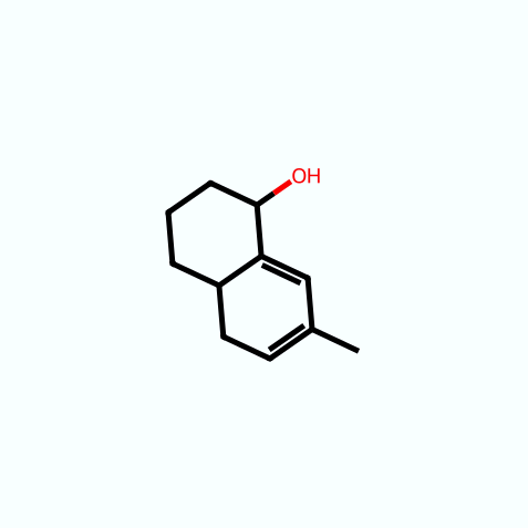 CC1=CCC2CCCC(O)C2=C1